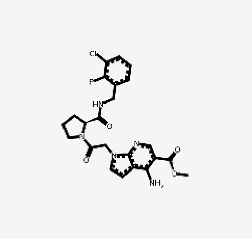 COC(=O)c1cnc2c(ccn2CC(=O)N2CCC[C@H]2C(=O)NCc2cccc(Cl)c2F)c1N